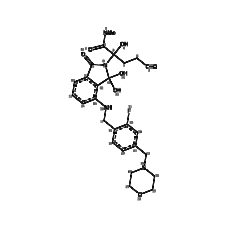 CNC(=O)C(O)(CCC=O)N1C(=O)c2cccc(NCc3ccc(CN4CCOCC4)cc3F)c2C1(O)O